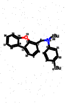 CC(C)(C)c1ccc(N(Cc2cccc3c2oc2ccccc23)C(C)(C)C)cc1